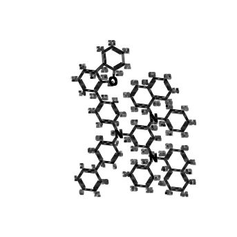 c1ccc(-c2ccc(N(c3ccc(-c4cccc5c4oc4ccccc45)cc3)c3cc(N(c4ccccc4)c4cccc5ccccc45)cc(N(c4ccccc4)c4cccc5ccccc45)c3)cc2)cc1